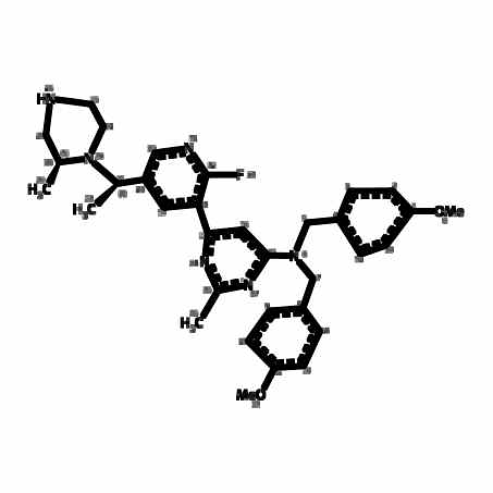 COc1ccc(CN(Cc2ccc(OC)cc2)c2cc(-c3cc([C@@H](C)N4CCNC[C@@H]4C)cnc3F)nc(C)n2)cc1